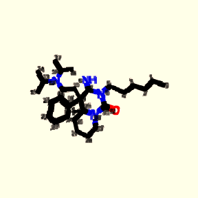 CCCCCCN1C(=N)[C@@](CCN(C(C)C)C(C)C)(c2ccccc2)[C@H]2CCCCN2C1=O